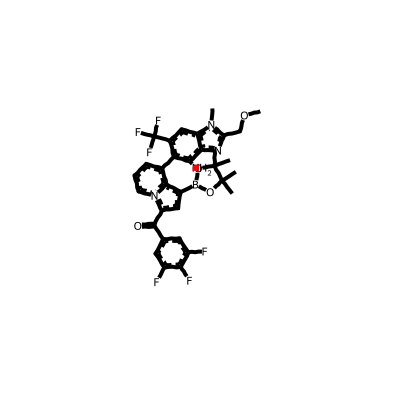 COCc1nc2c(N)c(-c3cccn4c(C(=O)c5cc(F)c(F)c(F)c5)cc(B5OC(C)(C)C(C)(C)O5)c34)c(C(F)(F)F)cc2n1C